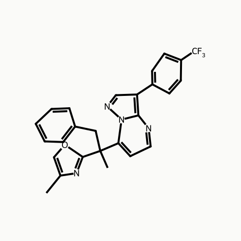 Cc1coc(C(C)(Cc2ccccc2)c2ccnc3c(-c4ccc(C(F)(F)F)cc4)cnn23)n1